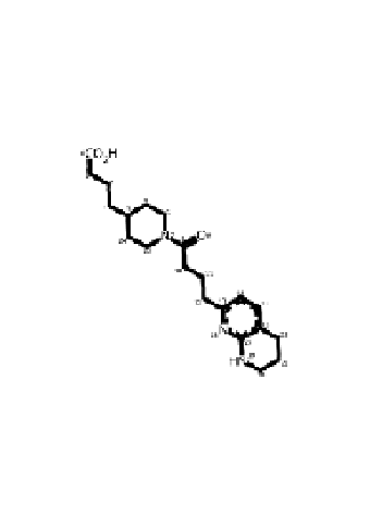 O=C(O)CCCC1CCN(C(=O)CCCc2ccc3c(n2)NCCC3)CC1